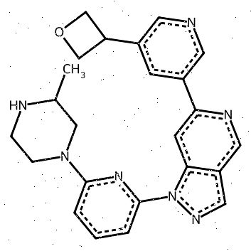 CC1CN(c2cccc(-n3ncc4cnc(-c5cncc(C6COC6)c5)cc43)n2)CCN1